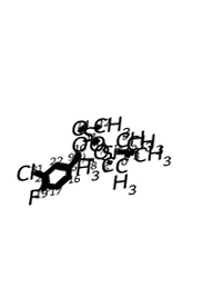 CC(C)(C)[Si](C)(C)OC[C@H](OS(C)(=O)=O)c1ccc(F)c(Cl)c1